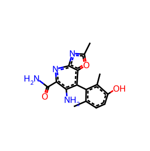 Cc1nc2nc(C(N)=O)c(N)c(-c3c(C)ccc(O)c3C)c2o1